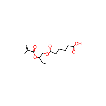 C=C(C)C(=O)OC(CC)COC(=O)CCCCC(=O)O